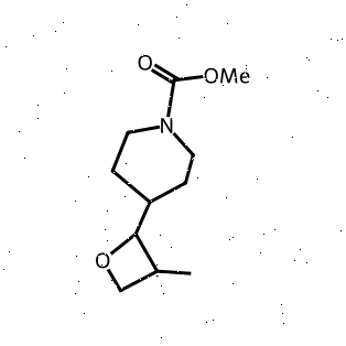 COC(=O)N1CCC(C2OC[C]2C)CC1